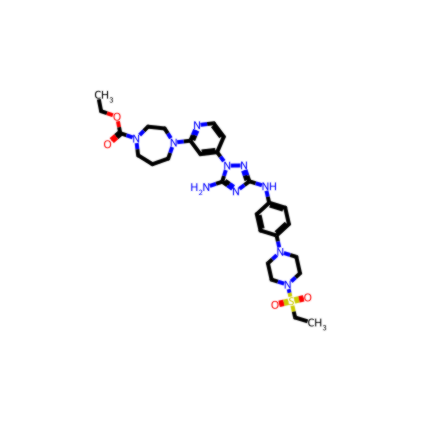 CCOC(=O)N1CCCN(c2cc(-n3nc(Nc4ccc(N5CCN(S(=O)(=O)CC)CC5)cc4)nc3N)ccn2)CC1